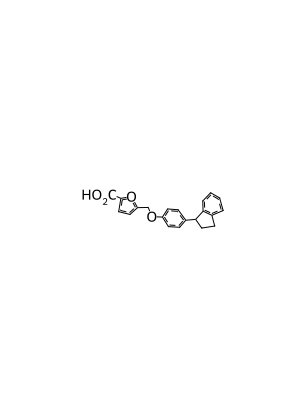 O=C(O)c1ccc(COc2ccc(C3CCc4ccccc43)cc2)o1